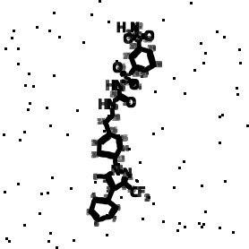 Cc1c(-c2ccccc2)c(C(F)(F)F)nn1-c1ccc(CCNC(=O)NS(=O)(=O)c2cccc(S(N)(=O)=O)c2)cc1